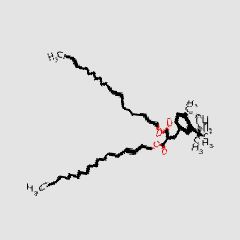 CCCCCCCCCCCCCCCCCCOC(=O)C(Cc1ccc(C)c(C(C)(C)C)c1)C(=O)OCCCCCCCCCCCCCCCCCC